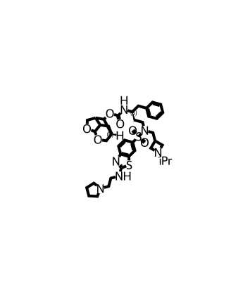 CC(C)N1CC(CN(CC[C@H](Cc2ccccc2)NC(=O)OC2C3COC4OC[C@H]2CC43)S(=O)(=O)c2ccc3nc(NCCN4CCCC4)sc3c2)C1